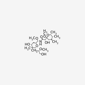 C=C1C[C@](OC)([C@H](O)C(=O)N[C@@H](OC)[C@@H]2C[C@@H](O)C(C)(C)[C@@H](CC(CO)OC)O2)O[C@H](C)[C@@H]1C